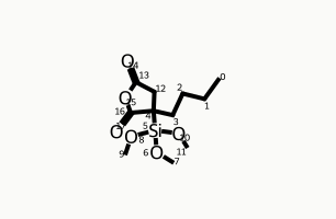 CCCCC1([Si](OC)(OC)OC)CC(=O)OC1=O